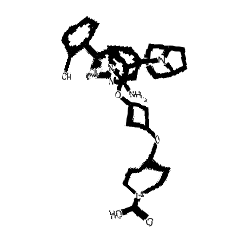 Nc1nnc(-c2ccccc2O)cc1N1CC2CCC(C1)N2c1ccnc(OC2CC(OC3CCN(C(=O)O)CC3)C2)c1